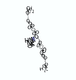 C=CC(=O)OCCCCCOc1ccc(OC(=O)C2CCC(C(=O)OCCc3ccc(OC(=O)C4CCC(C(=O)Oc5ccc(OCCCCCOC(=O)C=C)cc5)CC4)c(/C=N/Nc4nc5ccccc5s4)c3)CC2)cc1